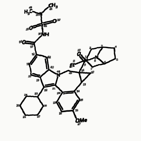 CCN1CC2CCC(C1)N2C(=O)C12CC1c1cc(OC)ccc1-c1c(C3CCCCC3)c3ccc(C(=O)NS(=O)(=O)N(C)C)cc3n1C2